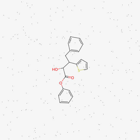 O=C(Oc1ccccc1)C(O)C(Cc1ccccc1)c1cccs1